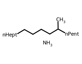 CCCCCCCCCCCC(C)CCCCC.N